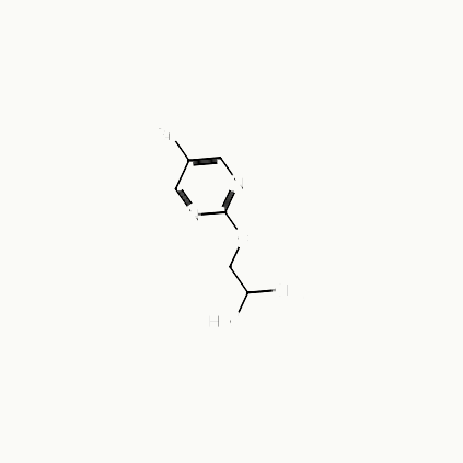 CC(C)COc1ncc(Br)cn1